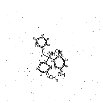 Cc1cccc(C(N)(Cc2ccccn2)c2cc(O)ccc2O)n1